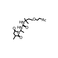 CC(=O)CCOCCC(C)(C)NC(=O)NC(C)N1C(=O)CC(C)C1=O